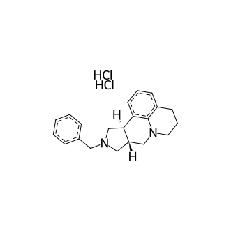 Cl.Cl.c1ccc(CN2C[C@H]3CN4CCCc5cccc(c54)[C@@H]3C2)cc1